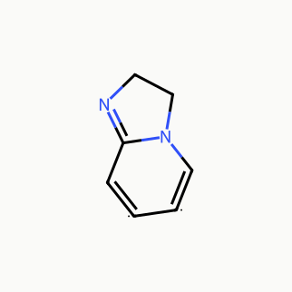 [C]1=CC2=NCCN2C=[C]1